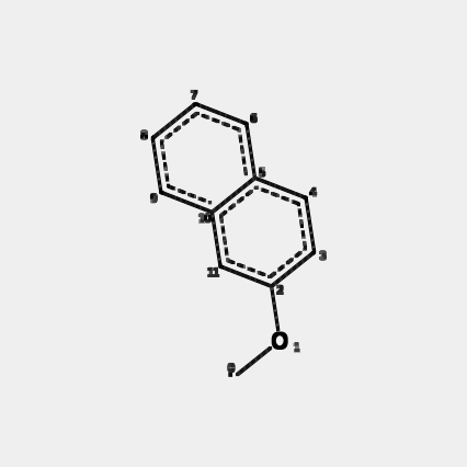 [CH2]Oc1ccc2ccccc2c1